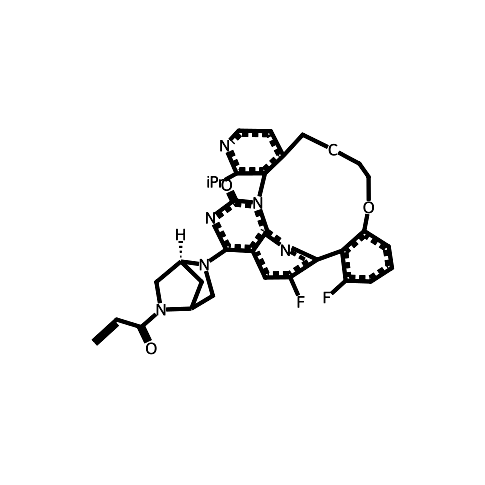 C=CC(=O)N1C[C@@H]2CC1CN2c1nc(=O)n2c3nc(c(F)cc13)-c1c(F)cccc1OCCCCc1ccnc(C(C)C)c1-2